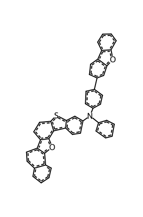 c1ccc(N(c2ccc(-c3ccc4c(c3)oc3ccccc34)cc2)c2ccc3c(c2)sc2ccc4c5ccc6ccccc6c5oc4c23)cc1